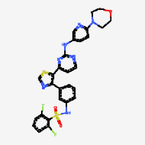 O=S(=O)(Nc1cccc(-c2ncsc2-c2ccnc(Nc3ccc(N4CCOCC4)nc3)n2)c1)c1c(F)cccc1F